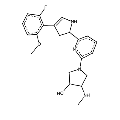 CNC1CN(c2cccc(C3CC(c4c(F)cccc4OC)=CN3)n2)CC1O